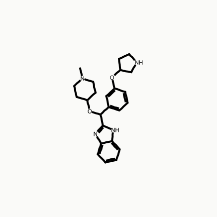 CN1CCC(OC(c2cccc(OC3CCNC3)c2)c2nc3ccccc3[nH]2)CC1